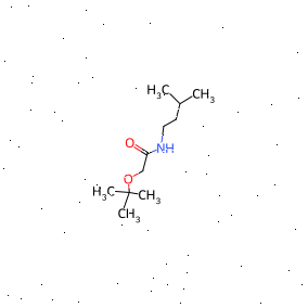 CC(C)CCNC(=O)COC(C)(C)C